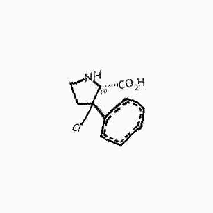 O=C(O)[C@H]1NCCC1(Cl)c1ccccc1